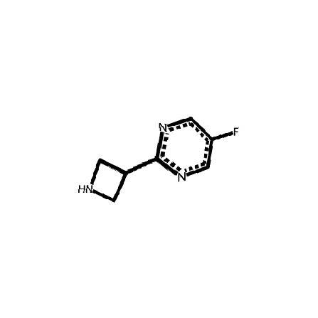 Fc1cnc(C2CNC2)nc1